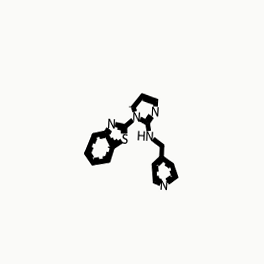 [CH]1C=CN=C(NCc2ccncc2)N1c1nc2ccccc2s1